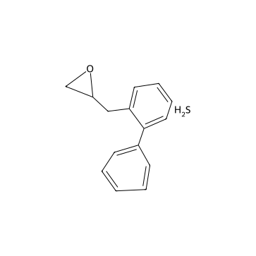 S.c1ccc(-c2ccccc2CC2CO2)cc1